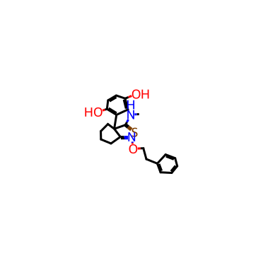 CNC(=S)C1(c2cc(O)ccc2O)CCCCC1=NOCCc1ccccc1